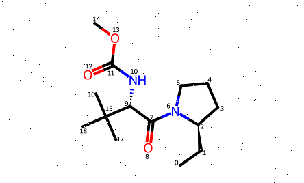 CC[C@@H]1CCCN1C(=O)[C@@H](NC(=O)OC)C(C)(C)C